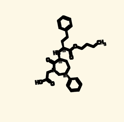 CCCCOC(=O)[C@H](CCc1ccccc1)N[C@H]1CC[C@H](c2ccccc2)CN(CC(=O)O)C1=O